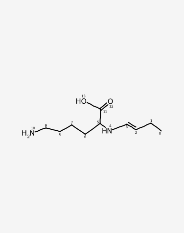 CC/C=C/NC(CCCCN)C(=O)O